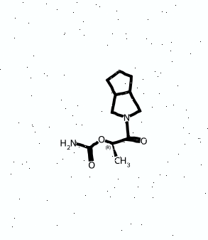 C[C@@H](OC(N)=O)C(=O)N1CC2CCCC2C1